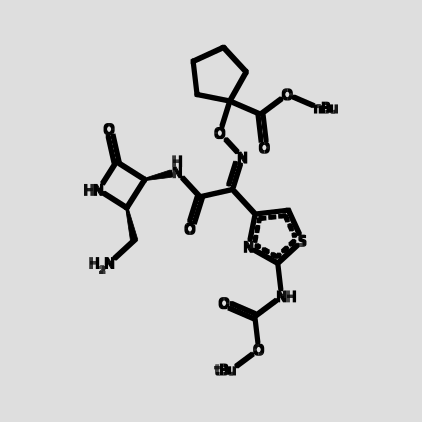 CCCCOC(=O)C1(O/N=C(\C(=O)N[C@@H]2C(=O)N[C@@H]2CN)c2csc(NC(=O)OC(C)(C)C)n2)CCCC1